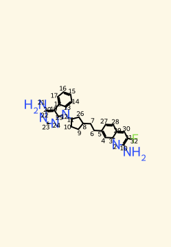 Nc1nc2cc(CCC3CCC(n4c5ccccc5c5c(N)ncnc54)C3)ccc2cc1F